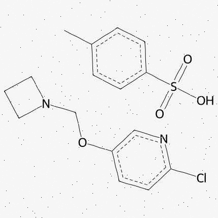 Cc1ccc(S(=O)(=O)O)cc1.Clc1ccc(OCN2CCC2)cn1